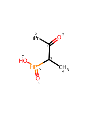 CC(C)C(=O)C(C)[PH](=O)O